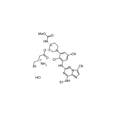 CCNc1nc(Nc2cc(C#N)cc(N3CC[C@@H](NC(=O)OC)[C@@H](OC(=O)C[C@H](N)CC(C)C)C3)c2Cl)nn2c(C#N)cnc12.Cl